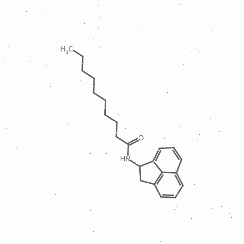 CCCCCCCCCC(=O)NC1Cc2cccc3cccc1c23